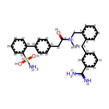 CCCN(Cc1ccccc1Cc1cccc(C(=N)N)c1)C(=O)Cc1ccc(-c2ccccc2S(N)(=O)=O)cc1